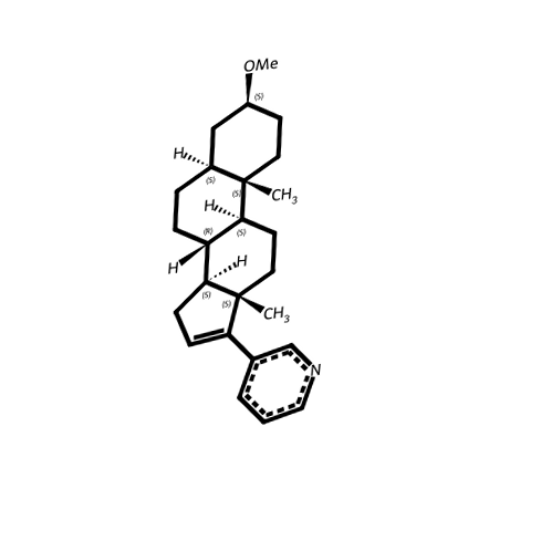 CO[C@H]1CC[C@@]2(C)[C@@H](CC[C@@H]3[C@@H]2CC[C@]2(C)C(c4cccnc4)=CC[C@@H]32)C1